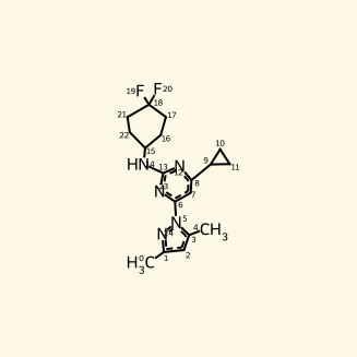 Cc1cc(C)n(-c2cc(C3CC3)nc(NC3CCC(F)(F)CC3)n2)n1